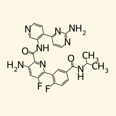 CC(C)NC(=O)c1ccc(F)c(-c2nc(C(=O)Nc3cnccc3-c3ccnc(N)n3)c(N)cc2F)c1